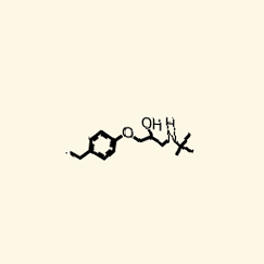 [CH2]Cc1ccc(OCC(O)CNC(C)(C)C)cc1